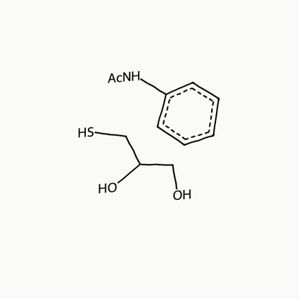 CC(=O)Nc1ccccc1.OCC(O)CS